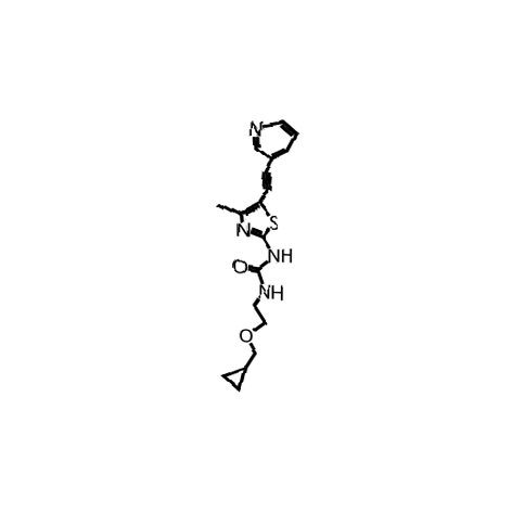 Cc1nc(NC(=O)NCCOCC2CC2)sc1C#Cc1cccnc1